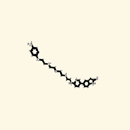 Nc1ccc(OCCOCCOCCOCCNc2ccc(-c3ccc4c(c3)CC(=O)N4)cn2)cc1